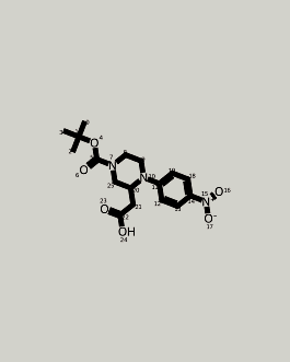 CC(C)(C)OC(=O)N1CCN(c2ccc([N+](=O)[O-])cc2)C(CC(=O)O)C1